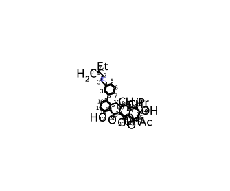 C=C(/C=C/c1cccc(-c2ccc(O)c3c2C[C@]2(C)C[C@]4(C)C(C(C)C)C(O)=C(C(C)=O)C(=O)[C@]4(O)C(O)=C2C3=O)c1)CC